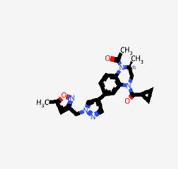 CC(=O)N1c2ccc(-c3cnn(Cc4cc(C)on4)c3)cc2N(C(=O)C2CC2)C[C@@H]1C